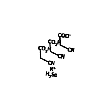 N#CCC(=O)O.N#CCC(=O)O.N#CCC(=O)[O-].[K+].[SeH2]